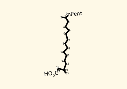 CCCCCC(C)CCCCCCCCCCCC(C)CC(=O)O